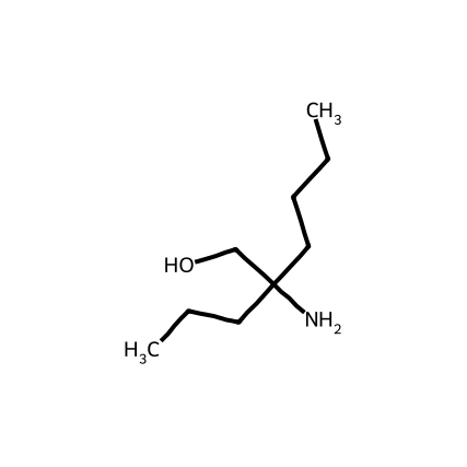 CCCCC(N)(CO)CCC